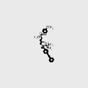 COc1ccc(NC(=O)N(C)CCC(CO)CN2CC(c3ccc(C#Cc4ccccc4)cc3)[C@H]2CN(C)C)cc1